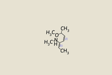 C/C=C(\C=C/C(C)OC)NC